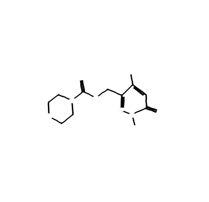 Cc1cc(=O)n(C)nc1CSC(=S)N1CCOCC1